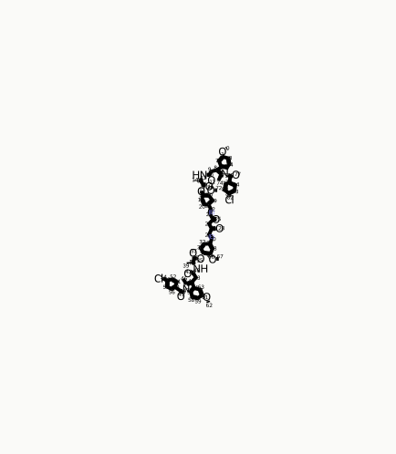 COc1ccc2c(c1)c(CC(=O)N[C@@H](C)C(=O)Oc1ccc(/C=C/C(=O)CC(=O)/C=C/c3ccc(OC(=O)[C@H](C)NC(=O)Cc4c(C)n(C(=O)c5ccc(Cl)cc5)c5ccc(OC)cc45)c(OC)c3)cc1OC)c(C)n2C(=O)c1ccc(Cl)cc1